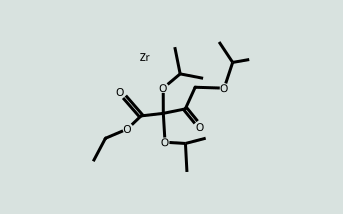 CCOC(=O)C(OC(C)C)(OC(C)C)C(=O)COC(C)C.[Zr]